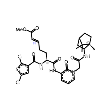 COC(=O)/C=C/CC[C@H](NC(=O)c1cc(Cl)sc1Cl)C(=O)Nc1cccn(CC(=O)NC2CC3CC[C@@]2(C)C3(C)C)c1=O